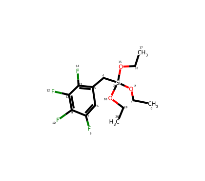 CCO[Si](Cc1cc(F)c(F)c(F)c1F)(OCC)OCC